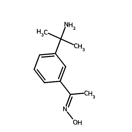 C/C(=N\O)c1cccc(C(C)(C)N)c1